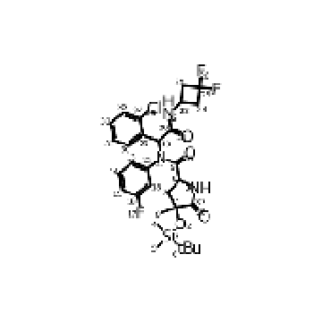 CC1(O[Si](C)(C)C(C)(C)C)CC(C(=O)N(c2cccc(F)c2)C(C(=O)NC2CC(F)(F)C2)c2ccccc2Cl)NC1=O